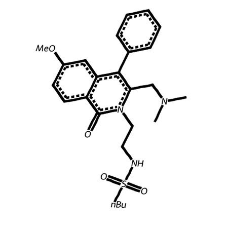 CCCCS(=O)(=O)NCCn1c(CN(C)C)c(-c2ccccc2)c2cc(OC)ccc2c1=O